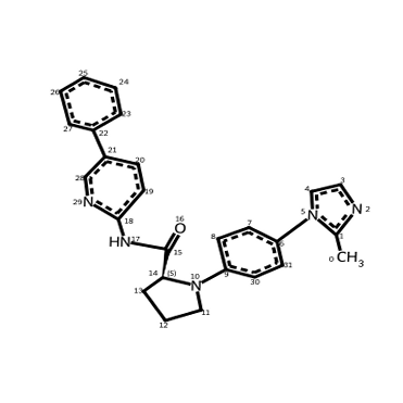 Cc1nccn1-c1ccc(N2CCC[C@H]2C(=O)Nc2ccc(-c3ccccc3)cn2)cc1